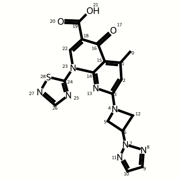 Cc1cc(N2CC(n3nccn3)C2)nc2c1c(=O)c(C(=O)O)cn2-c1ncns1